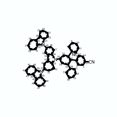 N#Cc1ccc(-c2c(-c3ccccc3)cc(-n3c4ccc(-n5c6ccccc6c6ccccc65)cc4c4cc(-n5c6ccccc6c6ccccc65)ccc43)cc2-c2ccccc2)c(C#N)c1